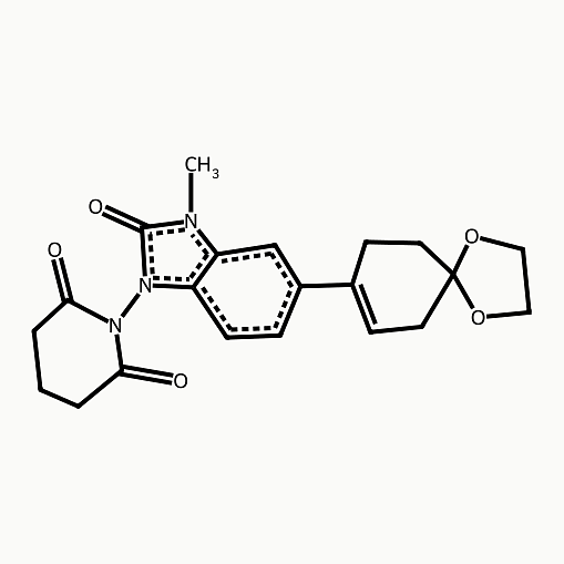 Cn1c(=O)n(N2C(=O)CCCC2=O)c2ccc(C3=CCC4(CC3)OCCO4)cc21